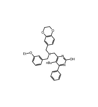 CCCCc1c(CN(Cc2cccc(OCC)c2)Cc2ccc3c(c2)OCCO3)nc(O)nc1-c1ccccc1